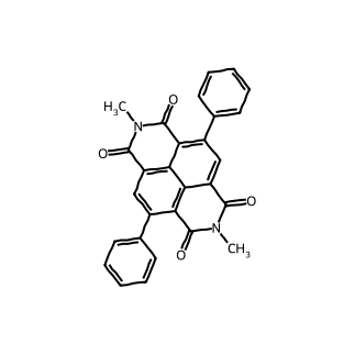 CN1C(=O)c2cc(-c3ccccc3)c3c4c(cc(-c5ccccc5)c(c24)C1=O)C(=O)N(C)C3=O